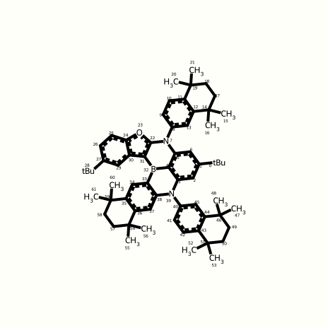 CC(C)(C)c1cc2c3c(c1)N(c1ccc4c(c1)C(C)(C)CCC4(C)C)c1oc4ccc(C(C)(C)C)cc4c1B3c1cc3c(cc1N2c1ccc2c(c1)C(C)(C)CCC2(C)C)C(C)(C)CCC3(C)C